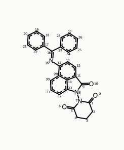 O=C1CCCC(=O)N1N1C(=O)c2ccc(N=C(c3ccccc3)c3ccccc3)c3cccc1c23